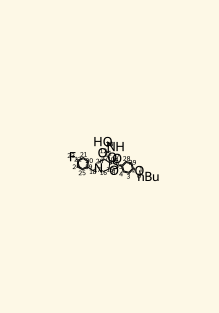 CCCCOc1ccc(S(=O)(=O)C2(OC(=O)NO)CCN(Cc3ccc(F)cc3)CC2)cc1